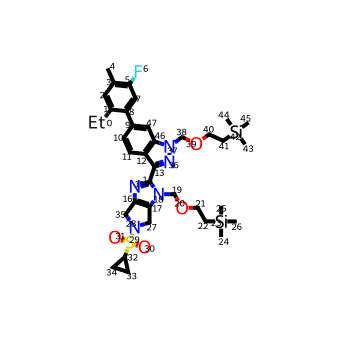 CCc1cc(C)c(F)cc1-c1ccc2c(-c3nc4c(n3COCC[Si](C)(C)C)CN(S(=O)(=O)C3CC3)C4)nn(COCC[Si](C)(C)C)c2c1